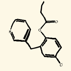 CCC(=O)Oc1ccc(Cl)cc1Cc1cccnc1